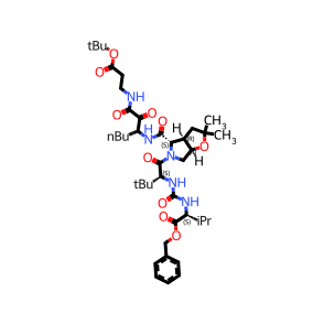 CCCCC(NC(=O)[C@@H]1[C@H]2CC(C)(C)O[C@H]2CN1C(=O)[C@@H](NC(=O)N[C@H](C(=O)OCc1ccccc1)C(C)C)C(C)(C)C)C(=O)C(=O)NCCC(=O)OC(C)(C)C